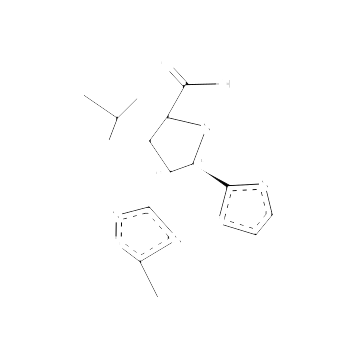 Cc1nc([C@@H]2C[C@@](CC(C)C)(C(=O)O)N[C@H]2c2nccs2)no1